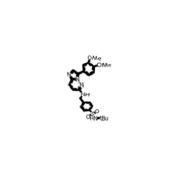 COc1ccc(-c2cnc3ccc(NCc4ccc(S(=O)(=O)NC(C)(C)C)cc4)nn23)cc1OC